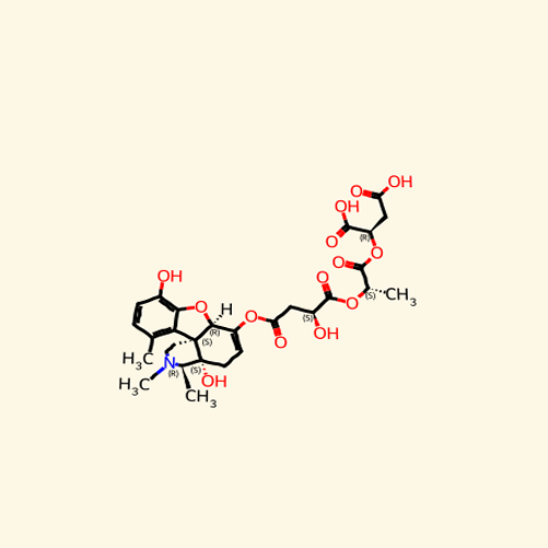 Cc1ccc(O)c2c1[C@]13CCN(C)[C@H](C)[C@]1(O)CC=C(OC(=O)C[C@H](O)C(=O)O[C@@H](C)C(=O)O[C@H](CC(=O)O)C(=O)O)[C@@H]3O2